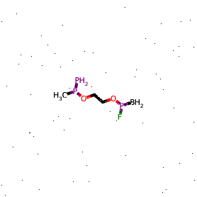 BP(F)OCCOP(C)P